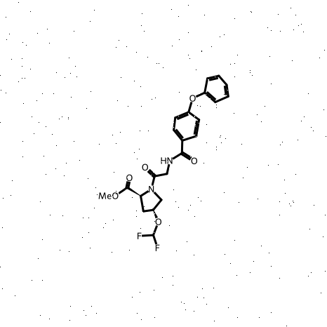 COC(=O)[C@@H]1C[C@H](OC(F)F)CN1C(=O)CNC(=O)c1ccc(Oc2ccccc2)cc1